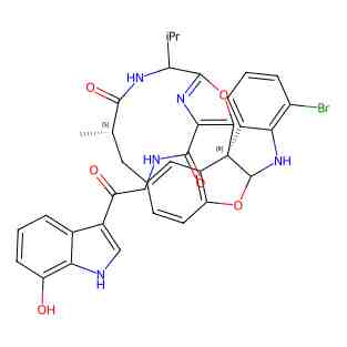 CC(C)C1NC(=O)[C@@H](C)Cc2ccc3c(c2)[C@@]2(c4cccc(Br)c4NC2O3)c2oc1nc2C(=O)NCC(=O)c1c[nH]c2c(O)cccc12